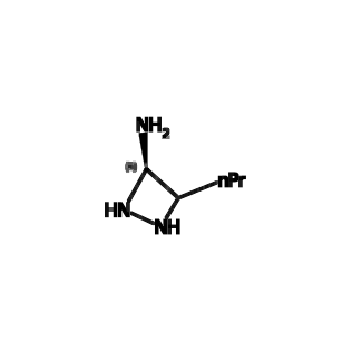 CCCC1NN[C@H]1N